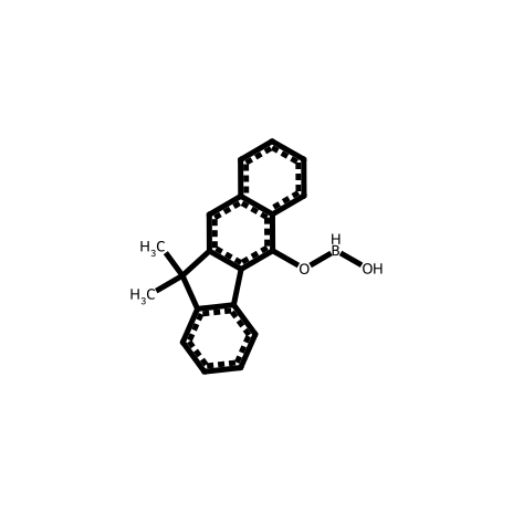 CC1(C)c2ccccc2-c2c1cc1ccccc1c2OBO